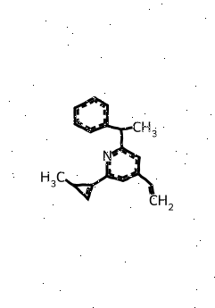 C=Cc1cc(C2=CC2C)nc(C(C)c2ccccc2)c1